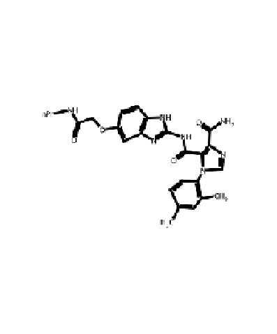 CCCNC(=O)COc1ccc2[nH]c(NC(=O)c3c(C(N)=O)ncn3-c3ccc(C)cc3C)nc2c1